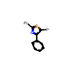 CC(C)c1nc(-c2ccccc2)c(C(C)C)s1